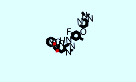 C=CC(=O)N1C2CC1CN(c1ccc3ncnc(Nc4cc(C)c(Oc5cnc6c(c5)ncn6C)cc4F)c3n1)C2